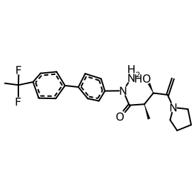 C=C([C@H](O)[C@@H](C)C(=O)N(N)c1ccc(-c2ccc(C(C)(F)F)cc2)cc1)N1CCCC1